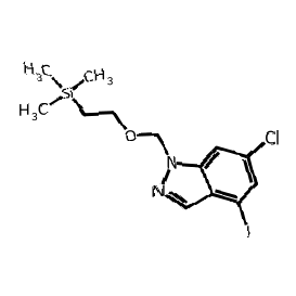 C[Si](C)(C)CCOCn1ncc2c(I)cc(Cl)cc21